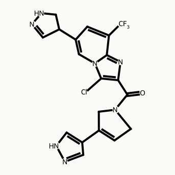 O=C(c1nc2c(C(F)(F)F)cc(C3C=NNC3)cn2c1Cl)N1CC=C(c2cn[nH]c2)C1